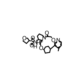 Cc1ccnc2c1C1CCC(CC1)OC[C@H]1C(NS(=O)(=O)C3CCOC3)CCCN1C(=O)CO2